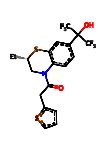 CC[C@H]1CN(C(=O)Cc2cccs2)c2ccc(C(O)(C(F)(F)F)C(F)(F)F)cc2S1